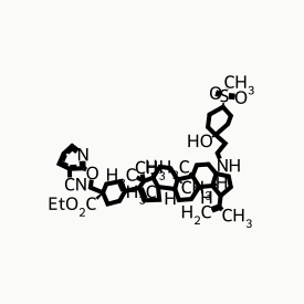 C=C(C)C1CC[C@]2(NCC[C@]3(O)CC[C@@H](S(C)(=O)=O)CC3)CC[C@]3(C)[C@H](CC[C@@H]4[C@@]5(C)CC=C(C6=CC[C@](COc7ncccc7C#N)(C(=O)OCC)CC6)C(C)(C)[C@@H]5CC[C@]43C)[C@@H]12